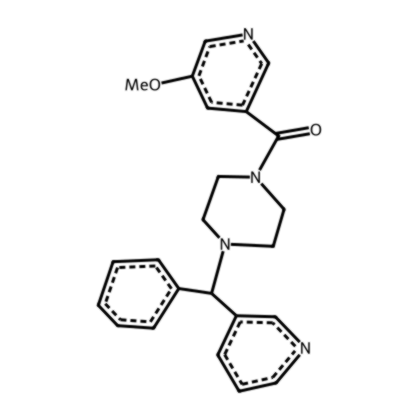 COc1cncc(C(=O)N2CCN(C(c3ccccc3)c3cccnc3)CC2)c1